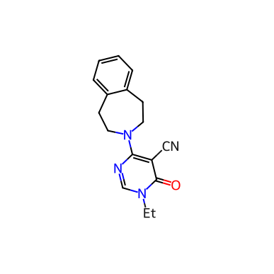 CCn1cnc(N2CCc3ccccc3CC2)c(C#N)c1=O